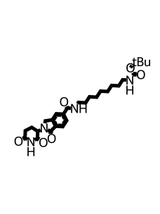 CC(C)(C)OC(=O)NCCCCCCCCCNC(=O)c1ccc2c(c1)CN(C1CCC(=O)NC1=O)C2=O